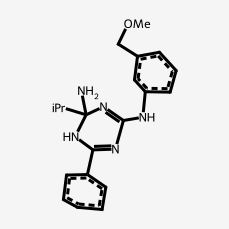 COCc1cccc(NC2=NC(N)(C(C)C)NC(c3ccccc3)=N2)c1